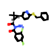 CC1(C)[C@@H](C(=O)N(N)C(=O)c2ccc(F)cc2F)[C@@H]1c1ccc(SCc2ccccc2)nc1